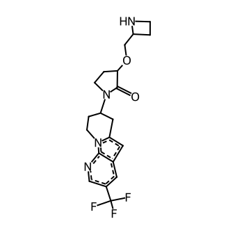 O=C1C(OCC2CCN2)CCN1C1CCn2c(cc3cc(C(F)(F)F)cnc32)C1